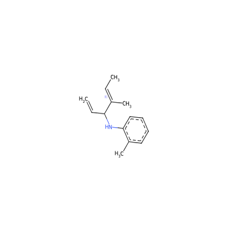 C=CC(Nc1ccccc1C)/C(C)=C/C